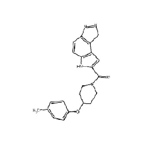 Cc1ccc(OC2CCN(C(=O)c3cc4c5c(ccc4[nH]3)N=NC5)CC2)cc1